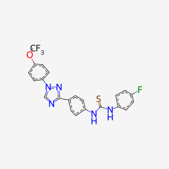 Fc1ccc(NC(=S)Nc2ccc(-c3ncn(-c4ccc(OC(F)(F)F)cc4)n3)cc2)cc1